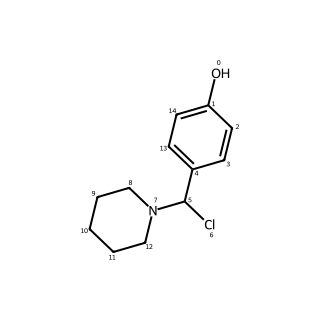 Oc1ccc(C(Cl)N2CCCCC2)cc1